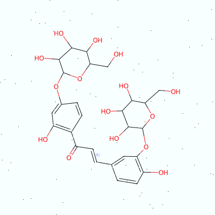 O=C(/C=C/c1ccc(O)c(OC2OC(CO)C(O)C(O)C2O)c1)c1ccc(OC2OC(CO)C(O)C(O)C2O)cc1O